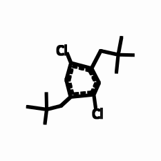 CC(C)(C)Cc1cc(Cl)c(CC(C)(C)C)cc1Cl